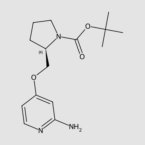 CC(C)(C)OC(=O)N1CCC[C@@H]1COc1ccnc(N)c1